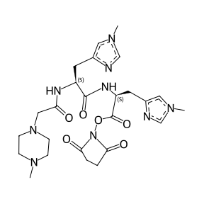 CN1CCN(CC(=O)N[C@@H](Cc2cn(C)cn2)C(=O)N[C@@H](Cc2cn(C)cn2)C(=O)ON2C(=O)CCC2=O)CC1